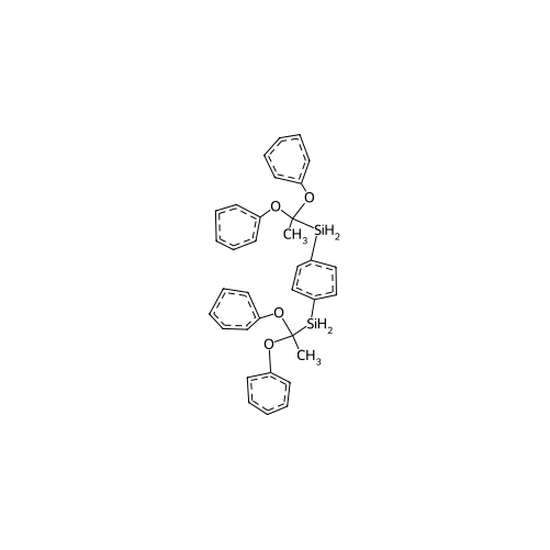 CC(Oc1ccccc1)(Oc1ccccc1)[SiH2]c1ccc([SiH2]C(C)(Oc2ccccc2)Oc2ccccc2)cc1